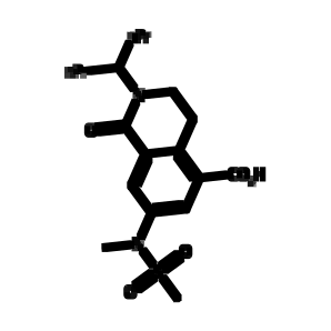 CCCC(CCC)N1CCc2c(C(=O)O)cc(N(C)S(C)(=O)=O)cc2C1=O